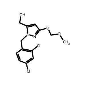 COCOc1cc(CO)n(Cc2ccc(Cl)cc2Cl)n1